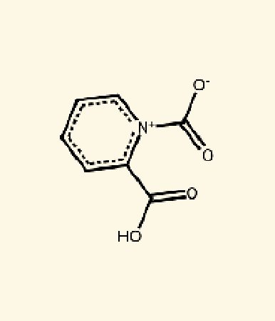 O=C(O)c1cccc[n+]1C(=O)[O-]